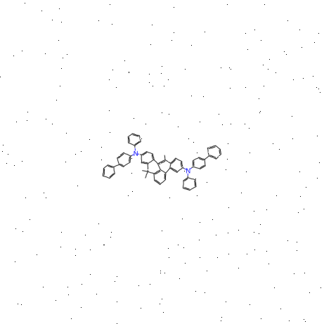 Cc1c2c3c(cccc3c3cc(N(c4ccccc4)c4ccc(-c5ccccc5)cc4)ccc13)C(C)(C)c1cc(N(c3ccccc3)c3ccc(-c4ccccc4)cc3)ccc1-2